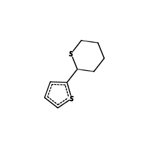 c1csc(C2CCCCS2)c1